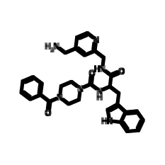 NCc1ccnc(CNC(=O)C(Cc2c[nH]c3ccccc23)NC(=O)N2CCN(C(=O)c3ccccc3)CC2)c1